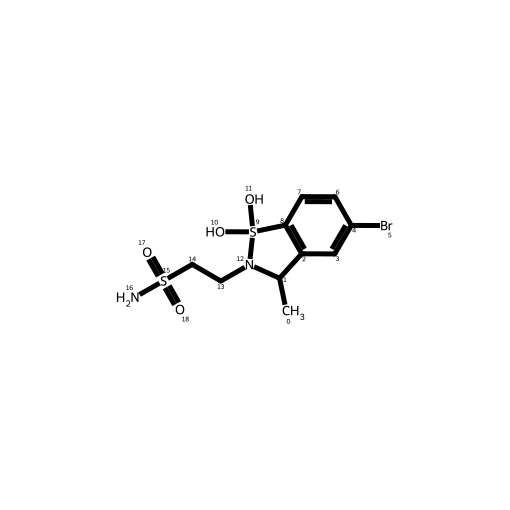 CC1c2cc(Br)ccc2S(O)(O)N1CCS(N)(=O)=O